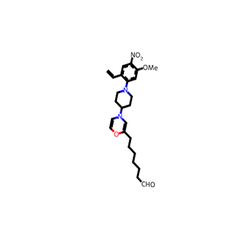 C=Cc1cc([N+](=O)[O-])c(OC)cc1N1CCC(N2C=COC(CCCCCCC=O)=C2)CC1